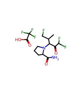 CC(CF)C(C(=O)C(F)F)N1CCCC1C(N)=O.O=C(O)C(F)(F)F